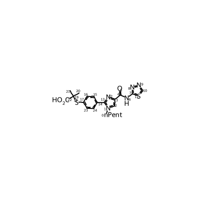 CCCCCn1cc(C(=O)Nc2nncs2)nc1-c1ccc(SC(C)(C)C(=O)O)cc1